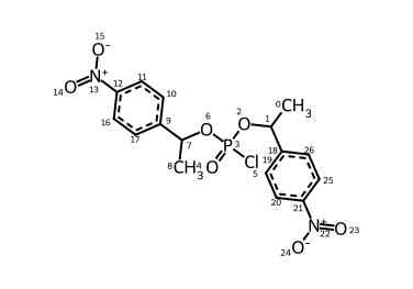 CC(OP(=O)(Cl)OC(C)c1ccc([N+](=O)[O-])cc1)c1ccc([N+](=O)[O-])cc1